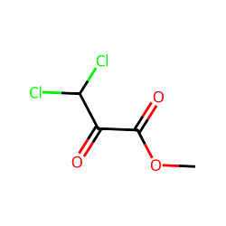 COC(=O)C(=O)C(Cl)Cl